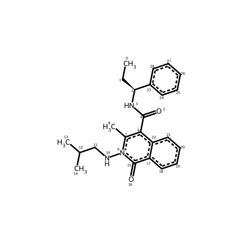 CC[C@H](NC(=O)c1c(C)n(NCC(C)C)c(=O)c2ccccc12)c1ccccc1